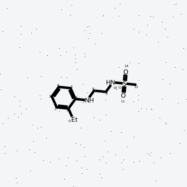 CCc1ccccc1NCCNS(C)(=O)=O